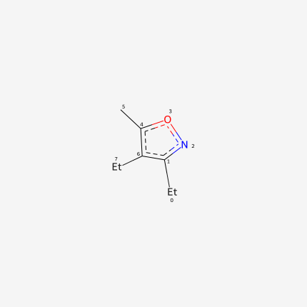 CCc1noc(C)c1CC